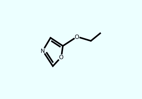 CCOc1cnco1